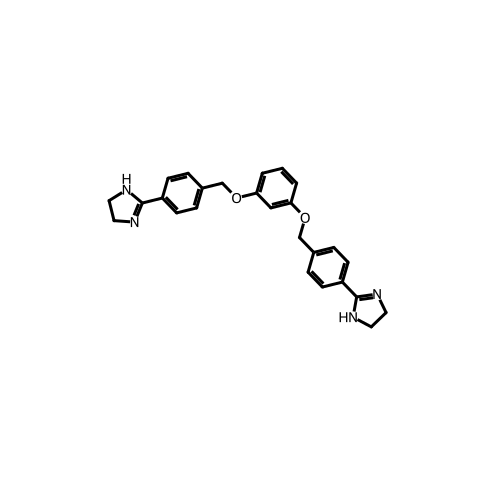 c1cc(OCc2ccc(C3=NCCN3)cc2)cc(OCc2ccc(C3=NCCN3)cc2)c1